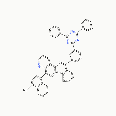 N#Cc1ccc(-c2cc3c4ccccc4c(-c4cccc(-c5nc(-c6ccccc6)nc(-c6ccccc6)n5)c4)cc3c3cccnc23)c2ccccc12